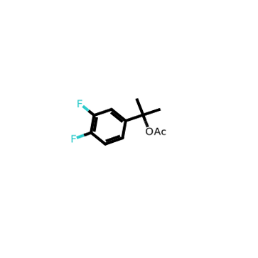 CC(=O)OC(C)(C)c1ccc(F)c(F)c1